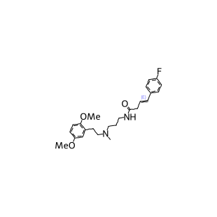 COc1ccc(OC)c(CCN(C)CCCNC(=O)C/C=C/c2ccc(F)cc2)c1